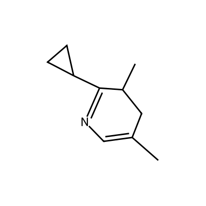 CC1=CN=C(C2CC2)C(C)C1